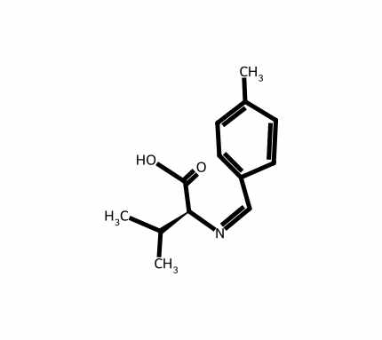 Cc1ccc(/C=N\[C@H](C(=O)O)C(C)C)cc1